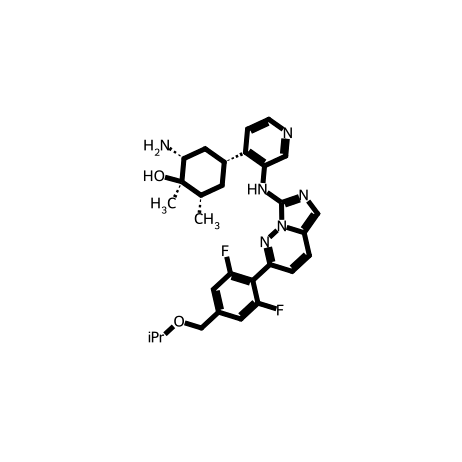 CC(C)OCc1cc(F)c(-c2ccc3cnc(Nc4cnccc4[C@H]4C[C@@H](N)[C@](C)(O)[C@@H](C)C4)n3n2)c(F)c1